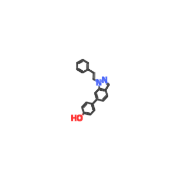 Oc1ccc(-c2ccc3cnn(C=Cc4ccccc4)c3c2)cc1